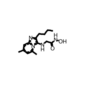 CCCCc1nc2cc(C)cc(C)n2c1NCC(=O)NO